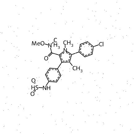 CON(C)C(=O)c1c(-c2ccc(N[SH](=O)=O)cc2)c(C)c(-c2ccc(Cl)cc2)n1C